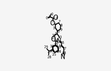 C=C(C)C(=O)OC1CCCC(C(C)CN(C/C=C/C#N)C(=O)c2cccc(C(C)C)c2)C1